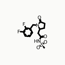 CS(=O)(=O)NC(=O)CC1CCC(=O)N1Cc1cccc(F)c1F